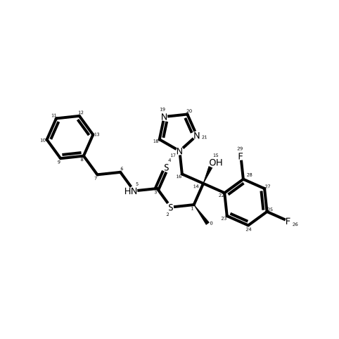 C[C@@H](SC(=S)NCCc1ccccc1)[C@](O)(Cn1cncn1)c1ccc(F)cc1F